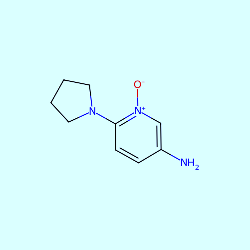 Nc1ccc(N2CCCC2)[n+]([O-])c1